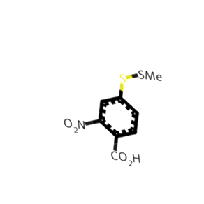 CSSc1ccc(C(=O)O)c([N+](=O)[O-])c1